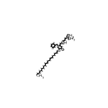 CCCCCCCCCCCCCCCCCCCCOc1cn(Cc2ccccc2)c(CNCCCN(C)C)cc1=O